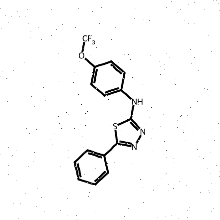 FC(F)(F)Oc1ccc(Nc2nnc(-c3ccccc3)s2)cc1